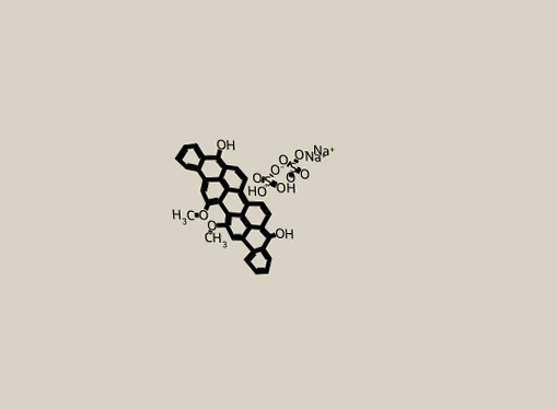 COc1cc2c3ccccc3c(O)c3ccc4c5ccc6c(O)c7ccccc7c7cc(OC)c(c1c4c32)c5c67.O=S(=O)([O-])O.O=S(=O)([O-])O.[Na+].[Na+]